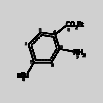 CCCCc1ccc(C(=O)OCC)c(N)c1